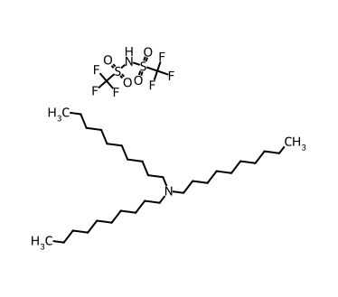 CCCCCCCCCCN(CCCCCCCCCC)CCCCCCCCCC.O=S(=O)(NS(=O)(=O)C(F)(F)F)C(F)(F)F